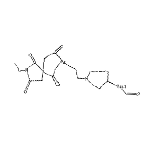 CCN1C(=O)CC2(CC(=O)N(CCN3CCC(NC=O)CC3)C2=O)C1=O